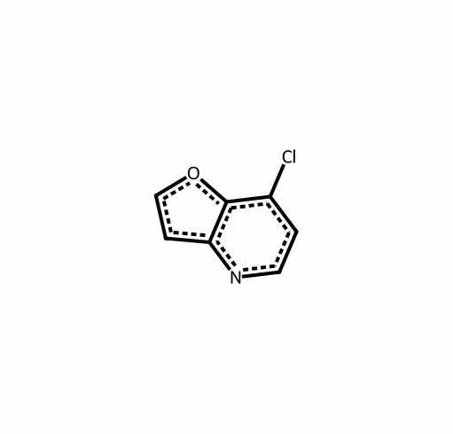 Clc1ccnc2ccoc12